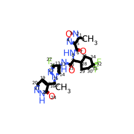 Cc1nonc1C(=O)N[C@H](C(=O)Nc1cn(C(C)c2ccn[nH]c2=O)nc1F)C1CCC(F)(F)CC1